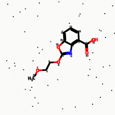 COCCOc1nc2c(C(=O)O)cccc2o1